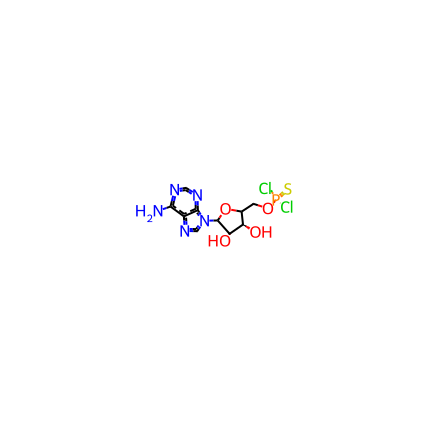 Nc1ncnc2c1ncn2C1OC(COP(=S)(Cl)Cl)[C@@H](O)[C@@H]1O